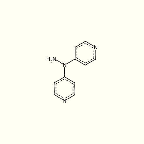 NN(c1ccncc1)c1ccncc1